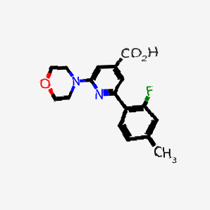 Cc1ccc(-c2cc(C(=O)O)cc(N3CCOCC3)n2)c(F)c1